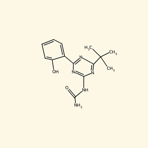 CC(C)(C)c1nc(NC(N)=O)nc(-c2ccccc2O)n1